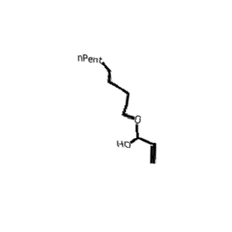 C=CC(O)OCCCCCCCCC